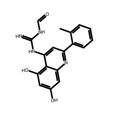 Cc1ccccc1-c1cc(NC(=N)NC=O)c2c(O)cc(O)cc2n1